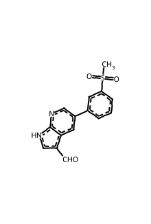 CS(=O)(=O)c1cccc(-c2cnc3[nH]cc(C=O)c3c2)c1